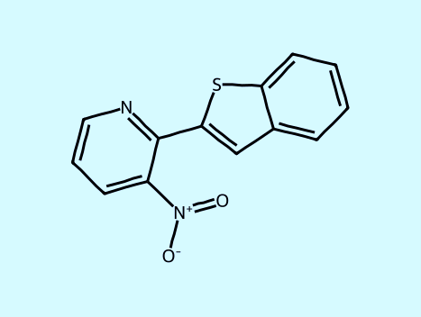 O=[N+]([O-])c1cccnc1-c1cc2ccccc2s1